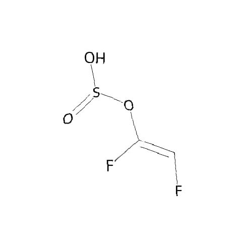 O=S(O)OC(F)=CF